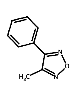 Cc1nonc1-c1ccccc1